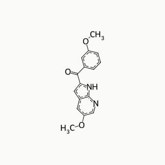 COc1cccc(C(=O)c2cc3cc(OC)cnc3[nH]2)c1